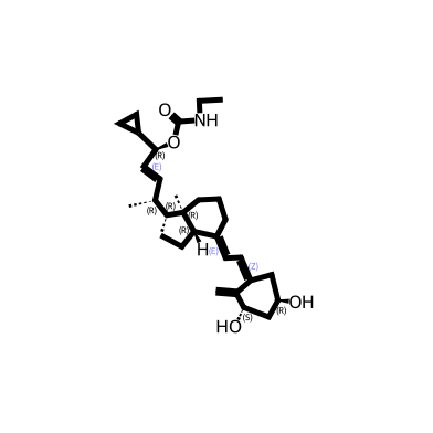 C=C1/C(=C\C=C2/CCC[C@]3(C)[C@@H]([C@H](C)/C=C/[C@H](OC(=O)NCC)C4CC4)CC[C@@H]23)C[C@@H](O)C[C@@H]1O